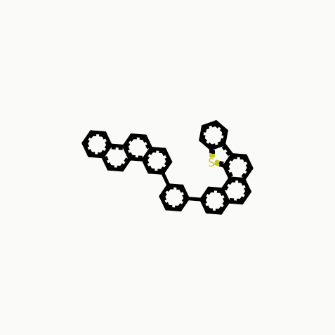 c1cc(-c2ccc3ccc4c5ccccc5ccc4c3c2)cc(-c2ccc3ccc4ccc5c6ccccc6sc5c4c3c2)c1